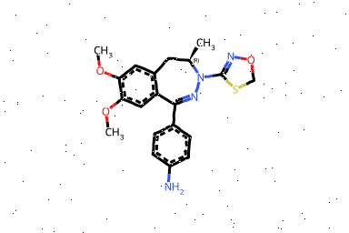 COc1cc2c(cc1OC)C(c1ccc(N)cc1)=NN(C1=NOCS1)[C@H](C)C2